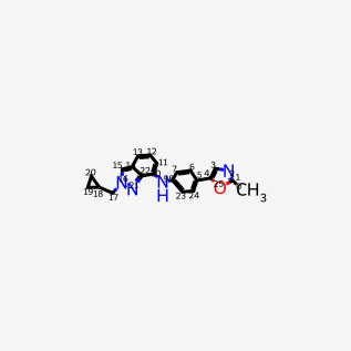 Cc1ncc(-c2ccc(Nc3cccc4cn(CC5CC5)nc34)cc2)o1